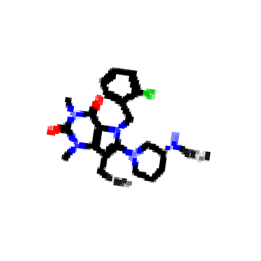 COCc1c(N2CCC[C@@H](NC(=O)O)C2)n(Cc2ccccc2Cl)c2c(=O)n(C)c(=O)n(C)c12